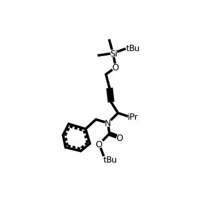 CC(C)C(C#CCO[Si](C)(C)C(C)(C)C)N(Cc1ccccc1)C(=O)OC(C)(C)C